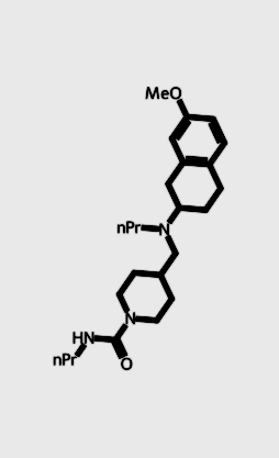 CCCNC(=O)N1CCC(CN(CCC)C2CCc3ccc(OC)cc3C2)CC1